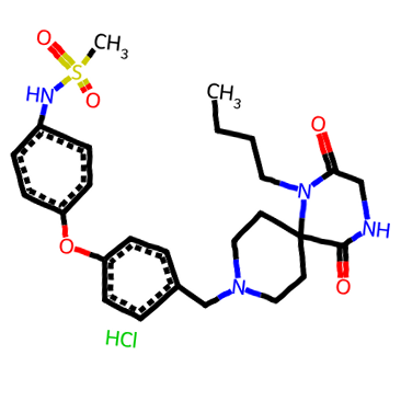 CCCCN1C(=O)CNC(=O)C12CCN(Cc1ccc(Oc3ccc(NS(C)(=O)=O)cc3)cc1)CC2.Cl